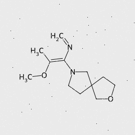 C=N/C(=C(\C)OC)N1CCC2(CCOC2)C1